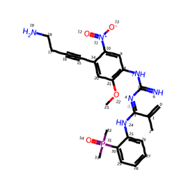 C=C(C)/C(=N\C(=N)Nc1cc([N+](=O)[O-])c(C#CCCN)cc1OC)Nc1ccccc1P(C)(C)=O